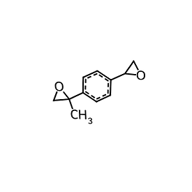 CC1(c2ccc(C3CO3)cc2)CO1